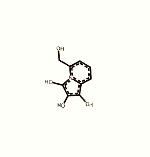 OCc1cccc2c(O)c(O)c(O)n12